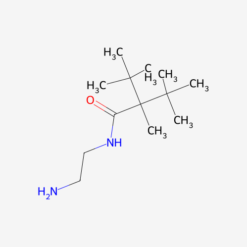 CC(C)(C)C(C)(C(=O)NCCN)C(C)(C)C